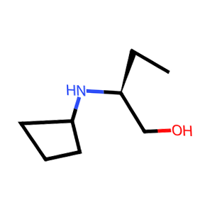 CC[C@@H](CO)NC1CCC1